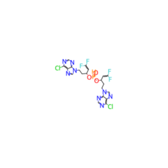 O=[PH](OC(C=C(F)F)CCn1cnc2c(Cl)ncnc21)OC(C=C(F)F)CCn1cnc2c(Cl)ncnc21